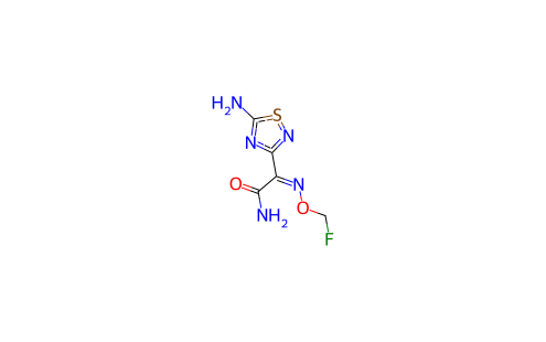 NC(=O)C(=NOCF)c1nsc(N)n1